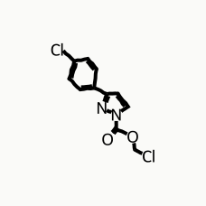 O=C(OCCl)n1ccc(-c2ccc(Cl)cc2)n1